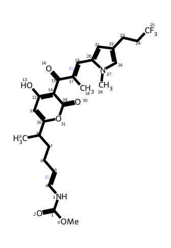 COC(=O)N/C=C/CCC(C)c1cc(O)c(C(=O)/C(C)=C/c2cc(CCC(F)(F)F)cn2C)c(=O)o1